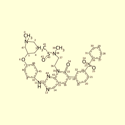 CN1CCCC(Oc2ccc(Nc3ncc4cc(-c5cccc(S(=O)(=O)c6ccccc6)c5)c(=O)n(CCN(C)[S+](C)[O-])c4n3)cc2)C1